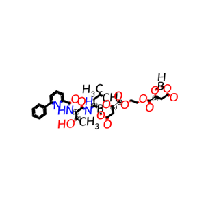 CC(C)C[C@H](NC(=O)[C@@H](NC(=O)c1cccc(-c2ccccc2)n1)[C@@H](C)O)B1OC(=O)C[C@@H](C(=O)OCCOC(=O)[C@@H]2CC(=O)OBO2)O1